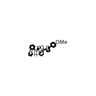 COc1ccc(-c2ccc(C(=O)N3CCC[C@H]3C(=O)Nc3ccccc3-n3cccc3)o2)cc1